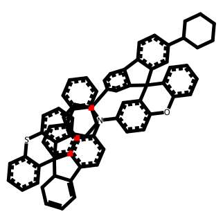 C1=CCC2C(=C1)c1ccc(N(c3ccc4c(c3)C3(c5ccccc5O4)c4cc(C5CCCCC5)ccc4-c4ccc(C5CCCCC5)cc43)c3ccccc3-c3ccccc3)cc1C21c2ccccc2Sc2ccccc21